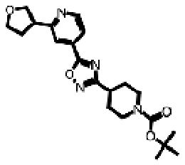 CC(C)(C)OC(=O)N1CCC(c2noc(-c3ccnc(C4CCOC4)c3)n2)CC1